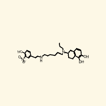 CCCN(CCCCCCNCCc1ccc(O)c([N+](=O)[O-])c1)C1CCc2c(ccc(O)c2O)C1